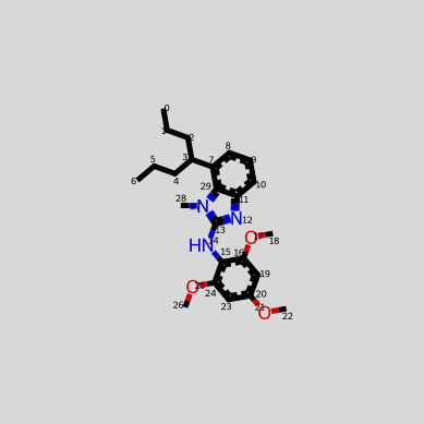 CCCC(CCC)c1cccc2nc(Nc3c(OC)cc(OC)cc3OC)n(C)c12